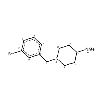 CNC1CCN(Cc2cccc(Br)c2)CC1